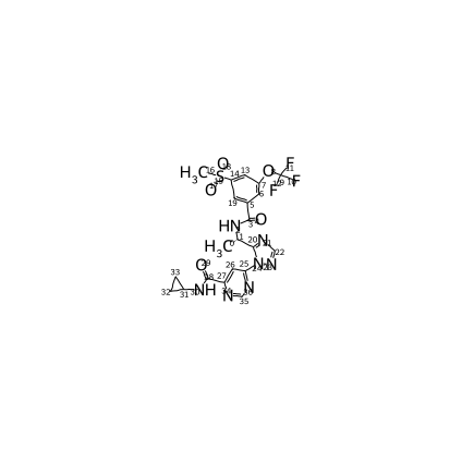 C[C@H](NC(=O)c1cc(OC(F)(F)F)cc(S(C)(=O)=O)c1)c1ncnn1-c1cc(C(=O)NC2CC2)ncn1